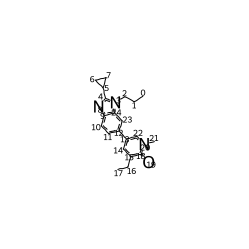 CCCn1c(C2CC2)nc2ccc(-c3cc(CC)c(=O)n(C)c3)cc21